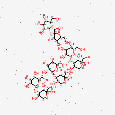 OC[C@H]1O[C@@H](O[C@@H]2[C@H](O)COC(O)(CO)[C@H]2O)[C@H](O)[C@@H](O)[C@@H]1O.OC[C@H]1O[C@@H](O[C@@H]2[C@H](O)COC(O)(CO)[C@H]2O)[C@H](O)[C@@H](O)[C@H]1O.OC[C@H]1O[C@@](CO)(O[C@H]2O[C@H](CO)[C@@H](O)[C@H](O)[C@H]2O)[C@@H](O)[C@@H]1O.OC[C@H]1O[C@H](O[C@@H]2[C@H](O)COC(O)(CO)[C@H]2O)[C@H](O)[C@@H](O)[C@@H]1O